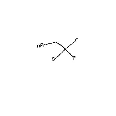 [CH2]CCCC(F)(F)Br